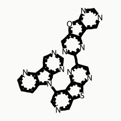 c1cnc2c3cncnc3n(-c3cncc4sc5ncc(-c6ncc7oc8ncncc8c7n6)nc5c34)c2c1